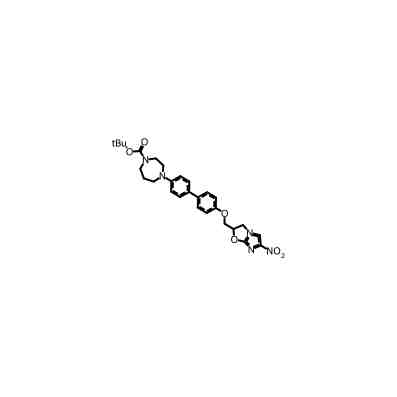 CC(C)(C)OC(=O)N1CCCN(c2ccc(-c3ccc(OCC4Cn5cc([N+](=O)[O-])nc5O4)cc3)cc2)CC1